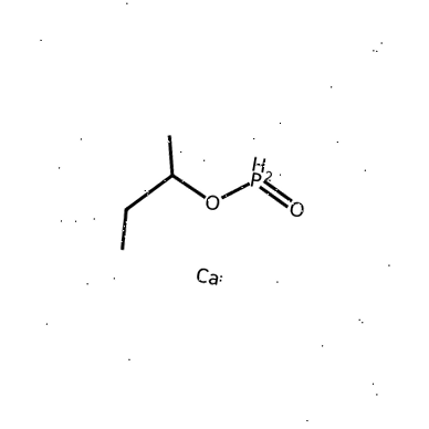 CCC(C)O[PH2]=O.[Ca]